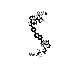 COC(=O)NCC(C)CC(=O)N1CCCC1c1ncc(-c2ccc3cc(-c4ccc(-c5cnc(C6CCCN6C(=O)C(NC(=O)OC)=C6CCOCC6)[nH]5)cc4)ccc3c2)[nH]1